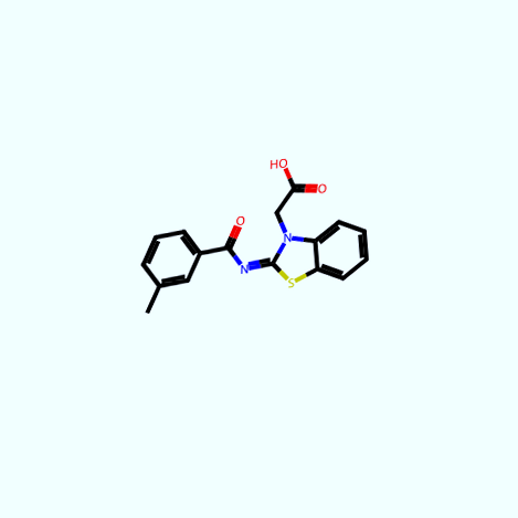 Cc1cccc(C(=O)N=c2sc3ccccc3n2CC(=O)O)c1